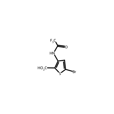 O=C(O)c1sc(Br)cc1NC(=O)C(F)(F)F